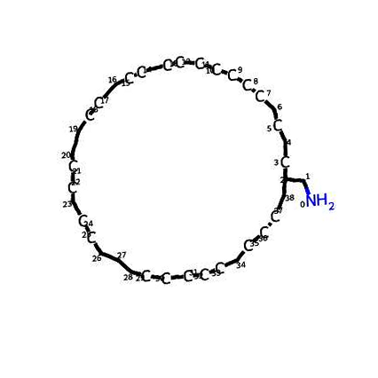 NCC1CCCCCCCCCCCCCCCCCCCCCCCCCCCCCCCCCCCC1